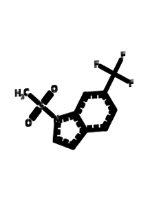 CS(=O)(=O)n1ccc2ccc(C(F)(F)F)cc21